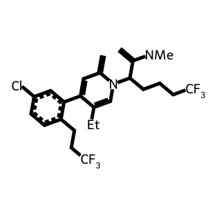 C=C(NC)C(CCCC(F)(F)F)N1C=C(CC)C(c2cc(Cl)ccc2CCC(F)(F)F)=CC1=C